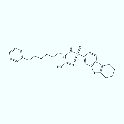 O=C(O)[C@H](CCCCCCc1ccccc1)NS(=O)(=O)c1ccc2c3c(oc2c1)CCCC3